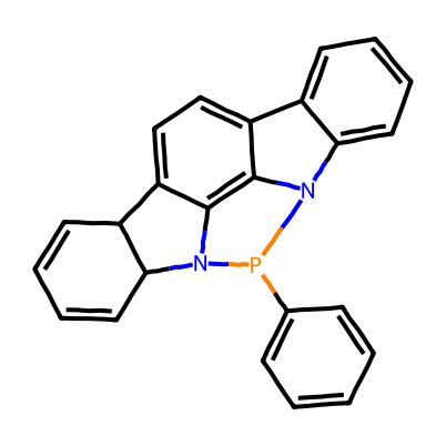 C1=CC2c3ccc4c5ccccc5n5c4c3N(C2C=C1)P5c1ccccc1